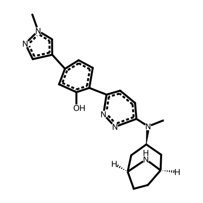 CN(c1ccc(-c2ccc(-c3cnn(C)c3)cc2O)nn1)[C@H]1C[C@H]2CC[C@@H](C1)N2